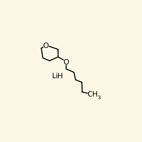 CCCCCCOC1CCCOC1.[LiH]